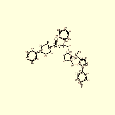 C[C@@H]1C2=C(CC[C@@H]2CC(NC(=O)N2CCN(c3ccncc3)CC2)c2ccccc2)Cc2c1cnn2-c1ccc(F)cc1